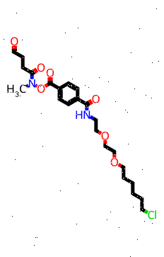 CN(OC(=O)c1ccc(C(=O)NCCOCCOCCCCCCCl)cc1)C(=O)CCC=O